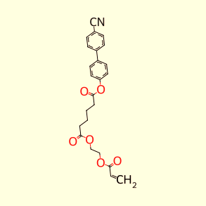 C=CC(=O)OCCOC(=O)CCCCC(=O)Oc1ccc(-c2ccc(C#N)cc2)cc1